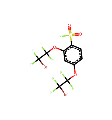 O=S(=O)(F)c1ccc(OC(F)(F)C(F)(F)Br)cc1OC(F)(F)C(F)(F)Br